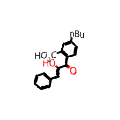 CCCCc1ccc(C(=O)C(O)=Cc2ccccc2)c(C(=O)O)c1